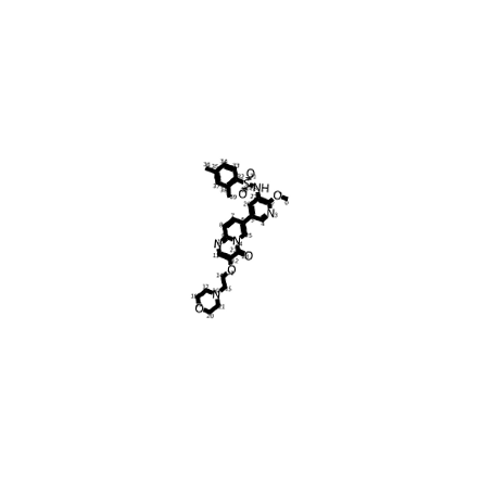 COc1ncc(-c2ccc3ncc(OCCN4CCOCC4)c(=O)n3c2)cc1NS(=O)(=O)c1ccc(C)cc1C